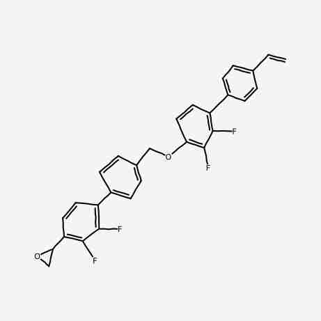 C=Cc1ccc(-c2ccc(OCc3ccc(-c4ccc(C5CO5)c(F)c4F)cc3)c(F)c2F)cc1